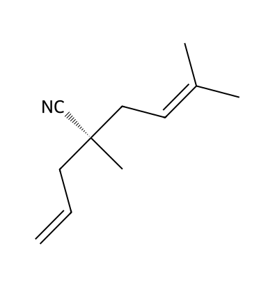 C=CC[C@@](C)(C#N)CC=C(C)C